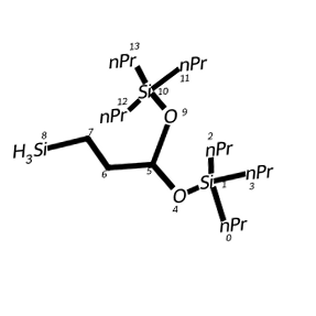 CCC[Si](CCC)(CCC)OC(CC[SiH3])O[Si](CCC)(CCC)CCC